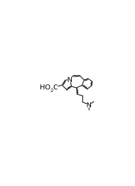 CN(C)CC/C=C1\c2ccccc2C=Cn2cc(C(=O)O)cc21